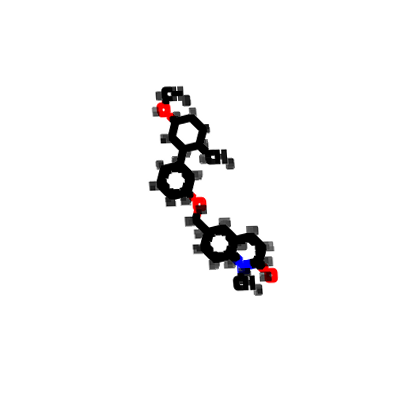 COC1CCC(C)C(c2cccc(OCc3ccc4c(ccc(=O)n4C)c3)c2)C1